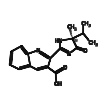 CC(C)[C@]1(C)NC(c2nc3ccccc3cc2C(=O)O)=NC1=O